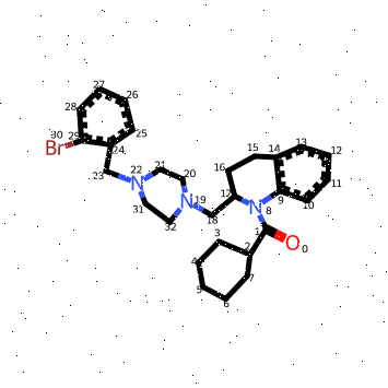 O=C(C1CCCCC1)N1c2ccccc2CCC1CN1CCN(Cc2ccccc2Br)CC1